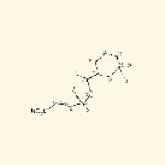 CC(OC(C)(C)C=CC(=O)O)C1CCCC(C)(C)C1